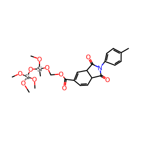 CO[Si](C)(OCOC(=O)C1=CC2C(=O)N(c3ccc(C)cc3)C(=O)C2C=C1)O[Si](OC)(OC)OC